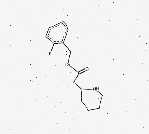 O=C(CC1CCCCN1)NCc1ccccc1F